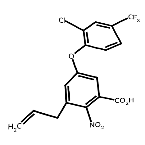 C=CCc1cc(Oc2ccc(C(F)(F)F)cc2Cl)cc(C(=O)O)c1[N+](=O)[O-]